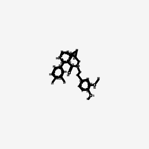 COc1ccc(CCN(CC2CC2)C(=O)c2cccnc2-c2ccc(C)c(C)c2)cc1OC